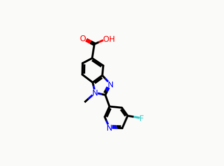 Cn1c(-c2cncc(F)c2)nc2cc(C(=O)O)ccc21